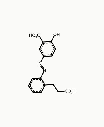 O=C(O)CCc1ccccc1/N=N/c1ccc(O)c(C(=O)O)c1